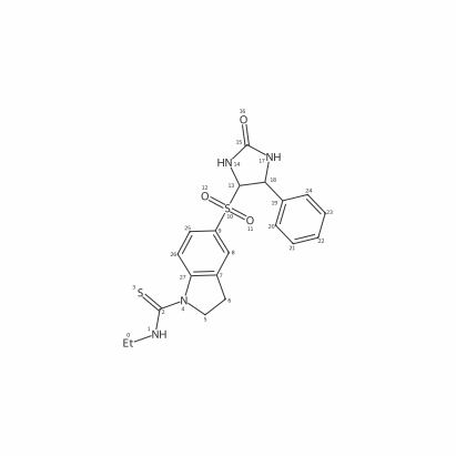 CCNC(=S)N1CCc2cc(S(=O)(=O)C3NC(=O)NC3c3ccccc3)ccc21